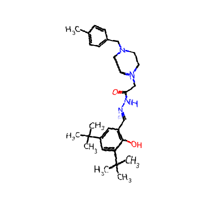 Cc1ccc(CN2CCN(CC(=O)N/N=C/c3cc(C(C)(C)C)cc(C(C)(C)C)c3O)CC2)cc1